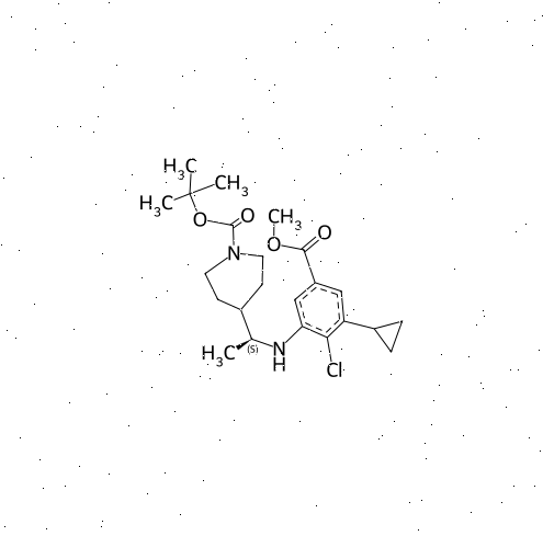 COC(=O)c1cc(N[C@@H](C)C2CCN(C(=O)OC(C)(C)C)CC2)c(Cl)c(C2CC2)c1